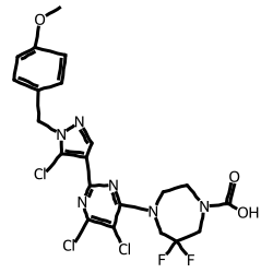 COc1ccc(Cn2ncc(-c3nc(Cl)c(Cl)c(N4CCN(C(=O)O)CC(F)(F)C4)n3)c2Cl)cc1